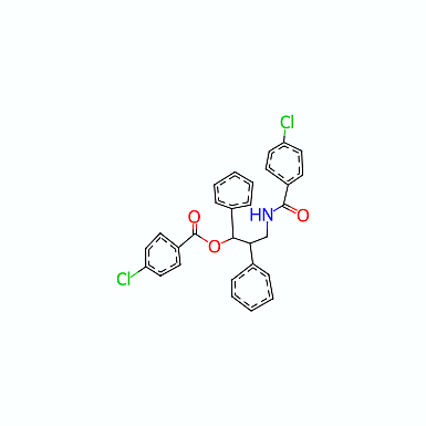 O=C(NCC(c1ccccc1)C(OC(=O)c1ccc(Cl)cc1)c1ccccc1)c1ccc(Cl)cc1